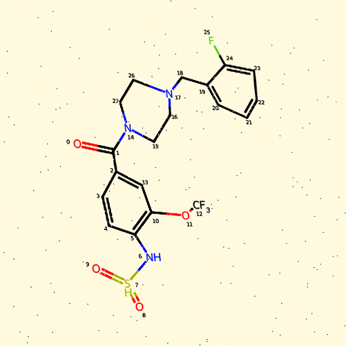 O=C(c1ccc(N[SH](=O)=O)c(OC(F)(F)F)c1)N1CCN(Cc2ccccc2F)CC1